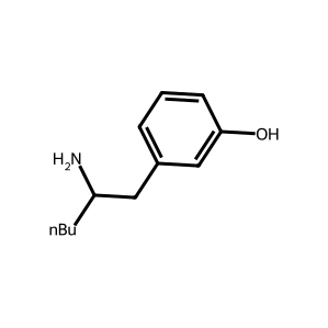 CCCCC(N)Cc1cccc(O)c1